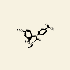 CCOC(=O)N(c1ccc(C(=O)O)cc1)c1ccc(O)cc1O